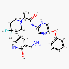 C[C@@H](C(=O)Nc1cnc(Oc2ccccc2)cn1)N1CCC(F)(F)[C@@H](c2c[nH]c(=O)c(CN)c2)C1